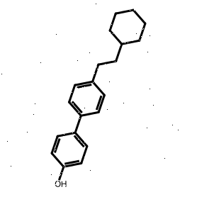 Oc1ccc(-c2ccc(CCC3CCCCC3)cc2)cc1